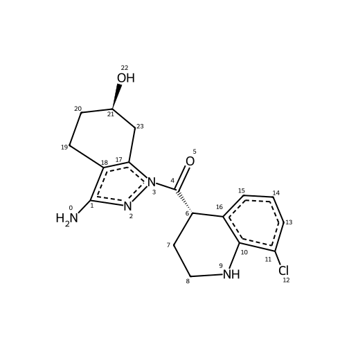 Nc1nn(C(=O)[C@H]2CCNc3c(Cl)cccc32)c2c1CC[C@@H](O)C2